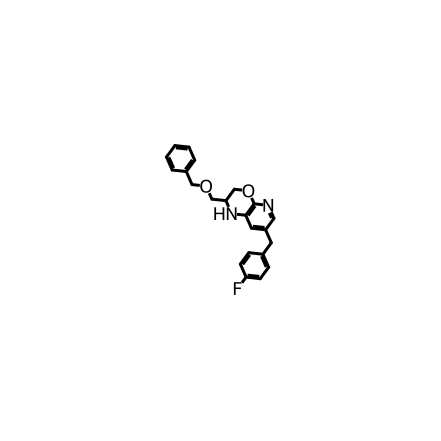 Fc1ccc(Cc2cnc3c(c2)NC(COCc2ccccc2)CO3)cc1